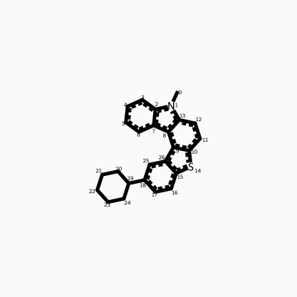 Cn1c2ccccc2c2c3c(ccc21)sc1ccc(C2CCCCC2)cc13